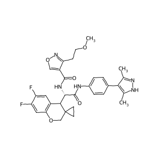 COCCc1nocc1C(=O)N[C@H](C(=O)Nc1ccc(-c2c(C)n[nH]c2C)cc1)C1c2cc(F)c(F)cc2OCC12CC2